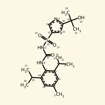 Cc1cc(C(C)C)c(NC(=O)NS(=O)(=O)c2cnc(C(C)(C)O)s2)c(C(C)C)c1